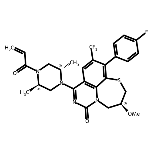 C=CC(=O)N1C[C@H](C)N(c2nc(=O)n3c4c(c(-c5ccc(F)cc5)c(C(F)(F)F)cc24)SC[C@@H](OC)C3)C[C@H]1C